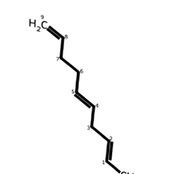 [CH2]C=CCC=CCCC=C